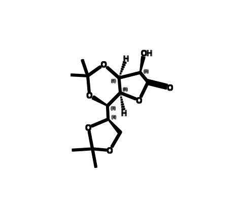 CC1(C)O[C@@H]2[C@@H](OC(=O)[C@@H]2O)[C@@H]([C@H]2COC(C)(C)O2)O1